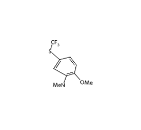 CNc1cc(SC(F)(F)F)ccc1OC